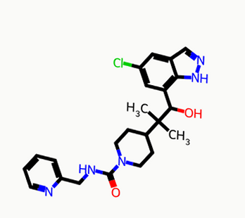 CC(C)(C1CCN(C(=O)NCc2ccccn2)CC1)C(O)c1cc(Cl)cc2cn[nH]c12